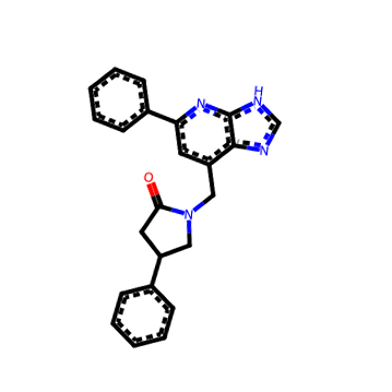 O=C1CC(c2ccccc2)CN1Cc1cc(-c2ccccc2)nc2[nH]cnc12